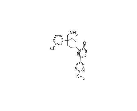 NCC1(c2cccc(Cl)c2)CCC(n2nc(-c3ccc(N)nc3)ccc2=O)CC1